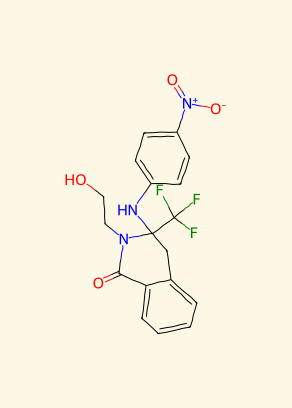 O=C1c2ccccc2CC(Nc2ccc([N+](=O)[O-])cc2)(C(F)(F)F)N1CCO